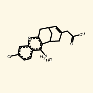 Cl.Nc1c2c(nc3cc(Cl)ccc13)CC1C=C(CC(=O)O)CC2C1